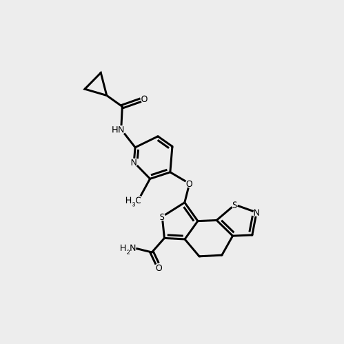 Cc1nc(NC(=O)C2CC2)ccc1Oc1sc(C(N)=O)c2c1-c1sncc1CC2